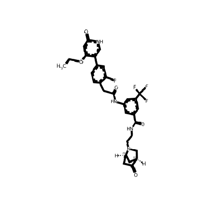 CCOc1cc(=O)[nH]cc1-c1ccc(CC(=O)Nc2cc(C(=O)NCCN3C[C@@H]4C[C@H]3CC4=O)cc(C(F)(F)F)c2)c(F)c1